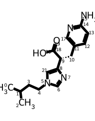 CC(C)CCn1cnc([C@@H](Cc2ccc(N)nc2)C(=O)O)c1